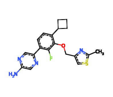 Cc1nc(COc2c(C3CCC3)ccc(-c3cnc(N)cn3)c2F)cs1